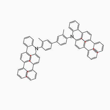 Cc1cc(-c2ccc(N(c3ccc(-c4ccccc4)cc3)c3ccccc3-c3ccc(-c4ccccc4)cc3)c(C)c2)ccc1N(c1ccc(-c2ccccc2)cc1)c1ccccc1-c1ccc(-c2ccccc2)cc1